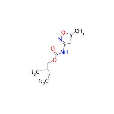 CC[C@H](C)COC(=O)Nc1cc(C)on1